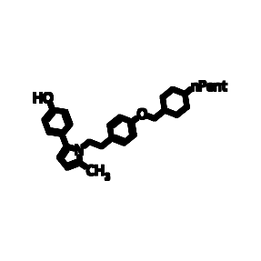 CCCCCC1CCC(COc2ccc(CCn3c(C)ccc3-c3ccc(O)cc3)cc2)CC1